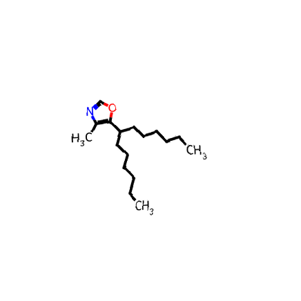 CCCCCCC(CCCCCC)c1ocnc1C